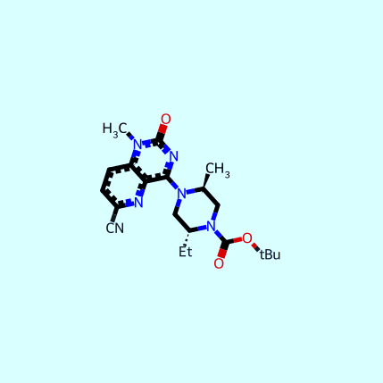 CC[C@@H]1CN(c2nc(=O)n(C)c3ccc(C#N)nc23)[C@@H](C)CN1C(=O)OC(C)(C)C